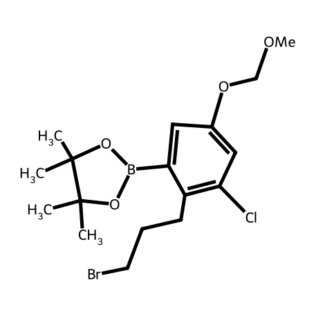 COCOc1cc(Cl)c(CCCBr)c(B2OC(C)(C)C(C)(C)O2)c1